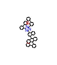 c1ccc(-c2ccccc2-c2nc(-c3ccc(-c4c5ccccc5c(-c5ccccc5-c5ccccc5)c5ccccc45)c4ccccc34)nc(-c3cccc4c3oc3ccccc34)n2)cc1